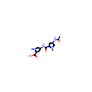 CC(=O)Nc1cc(C(=O)Nc2cc(C(=O)O)n(C)c2)n(C)c1